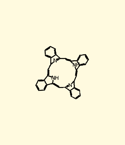 C1=c2\[nH]/c(c3ccccc23)=C\C2N=C(/C=c3\[nH]/c(c4ccccc34)=C\C3N=C/1c1ccccc13)c1ccccc12